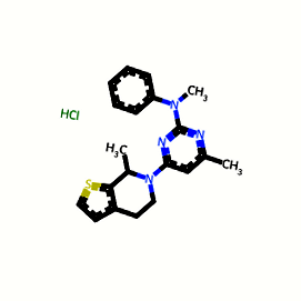 Cc1cc(N2CCc3ccsc3C2C)nc(N(C)c2ccccc2)n1.Cl